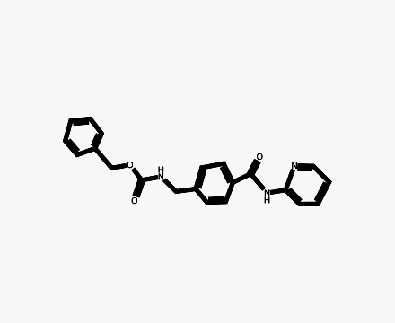 O=C(NCc1ccc(C(=O)Nc2ccccn2)cc1)OCc1ccccc1